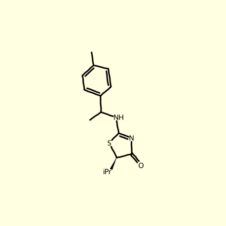 Cc1ccc(C(C)NC2=NC(=O)[C@@H](C(C)C)S2)cc1